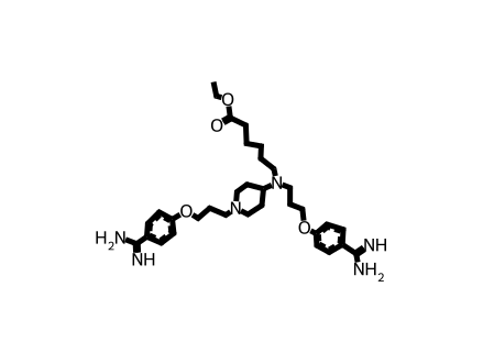 CCOC(=O)CCCCCN(CCCOc1ccc(C(=N)N)cc1)C1CCN(CCCOc2ccc(C(=N)N)cc2)CC1